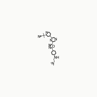 CN(C)CCNc1ccc(-c2nnc(-c3cncc(-c4ccnc(C(C)(C)C#N)c4)n3)o2)cc1